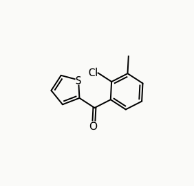 Cc1cccc(C(=O)c2cccs2)c1Cl